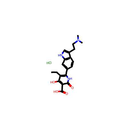 CCc1c(-c2ccc3c(CCN(C)C)c[nH]c3c2)[nH]c(=O)c(C(=O)O)c1O.Cl